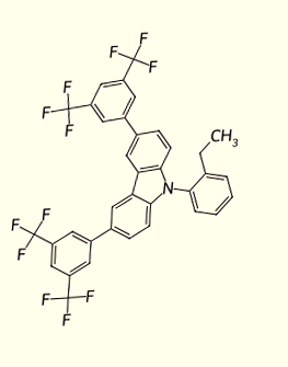 CCc1ccccc1-n1c2ccc(-c3cc(C(F)(F)F)cc(C(F)(F)F)c3)cc2c2cc(-c3cc(C(F)(F)F)cc(C(F)(F)F)c3)ccc21